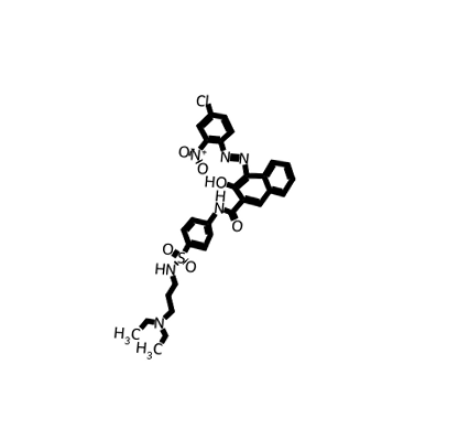 CCN(CC)CCCNS(=O)(=O)c1ccc(NC(=O)c2cc3ccccc3c(N=Nc3ccc(Cl)cc3[N+](=O)[O-])c2O)cc1